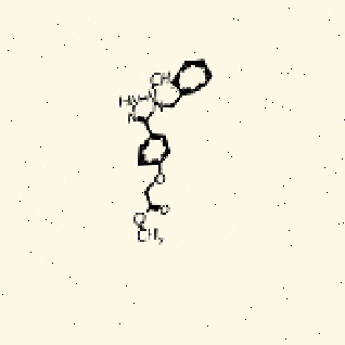 COC(=O)COc1ccc(C2=NNN(C)N2Cc2ccccc2)cc1